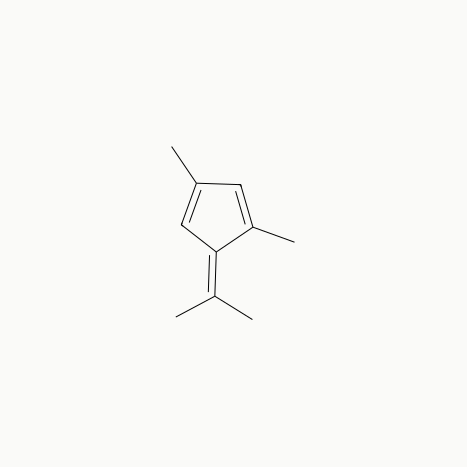 CC1=CC(=C(C)C)C(C)=C1